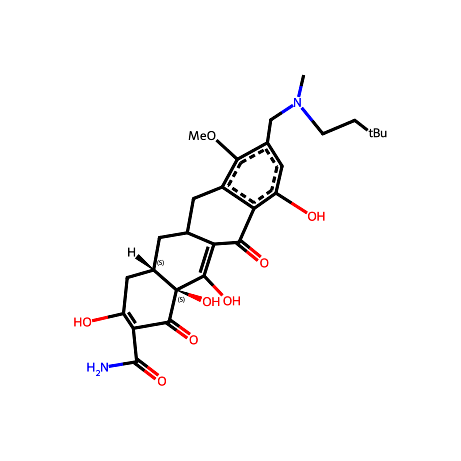 COc1c(CN(C)CCC(C)(C)C)cc(O)c2c1CC1C[C@H]3CC(O)=C(C(N)=O)C(=O)[C@@]3(O)C(O)=C1C2=O